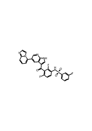 O=C(c1c(F)ccc(NS(=O)(=O)c2cccc(F)c2)c1F)c1c[nH]c2ncc(-c3cccc4nccn34)cc12